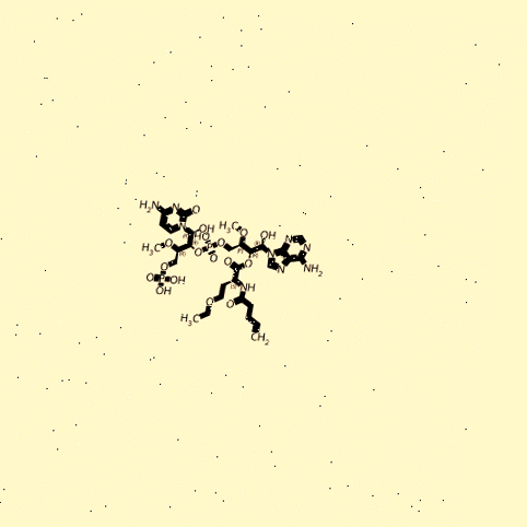 C=CCCC(=O)N[C@@H](CCOCC)C(=O)O[C@@H]([C@@H](O)n1cnc2c(N)ncnc21)[C@@H](COP(=O)(O)O[C@@H]([C@@H](O)n1ccc(N)nc1=O)[C@@H](COP(=O)(O)O)OC)OC